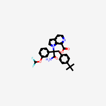 CC(C)(C)c1ccc(CC(C(N)=O)(c2cccc(OC(F)F)c2)n2ccc3ccnc(C(=O)O)c32)cc1